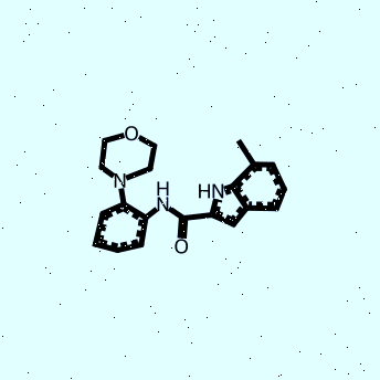 Cc1cccc2cc(C(=O)Nc3ccccc3N3CCOCC3)[nH]c12